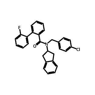 O=C(c1ccccc1-c1ccccc1F)N(Cc1ccc(Cl)cc1)C1Cc2ccccc2C1